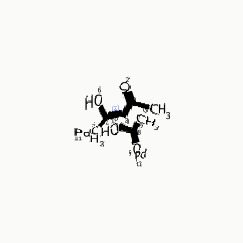 CC(=O)/C=C(/C)O.CC(=O)O.[Pd].[Pd]